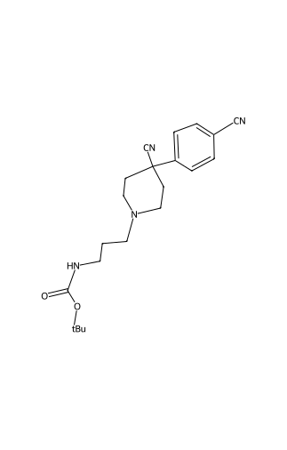 CC(C)(C)OC(=O)NCCCN1CCC(C#N)(c2ccc(C#N)cc2)CC1